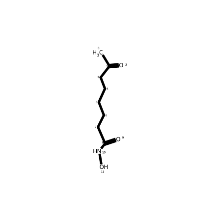 CC(=O)CCCCCC(=O)NO